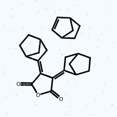 C1=CC2CCC1C2.O=C1OC(=O)C(=C2CC3CCC2C3)C1=C1CC2CCC1C2